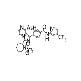 C=CS(=O)(=O)N1CCCC[C@H]1c1nc(-c2ccc(C(=O)Nc3cc(C(F)(F)F)ccn3)cc2)c2c([AsH2])nccn12